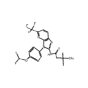 CC(C)(O)CC(=O)Nc1nc2ccc(C(F)(F)F)nc2n1-c1ccc(OC(F)F)cc1